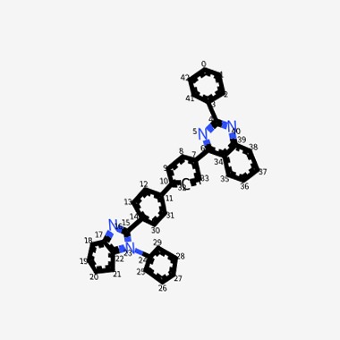 c1ccc(-c2nc(-c3ccc(-c4ccc(-c5nc6ccccc6n5-c5ccccc5)cc4)cc3)c3ccccc3n2)cc1